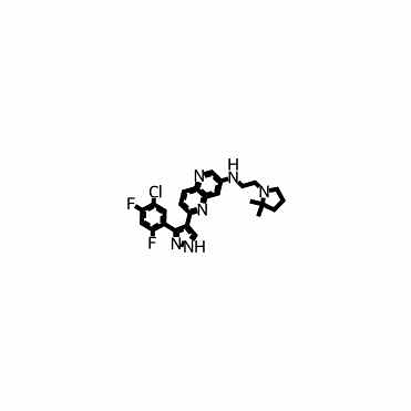 CC1(C)CCCN1CCNc1cnc2ccc(-c3c[nH]nc3-c3cc(Cl)c(F)cc3F)nc2c1